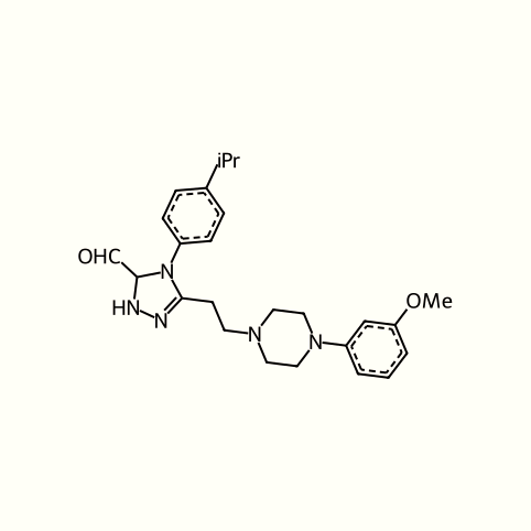 COc1cccc(N2CCN(CCC3=NNC(C=O)N3c3ccc(C(C)C)cc3)CC2)c1